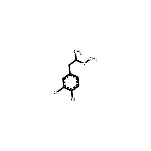 CNC(C)Cc1ccc(Cl)c(Cl)c1